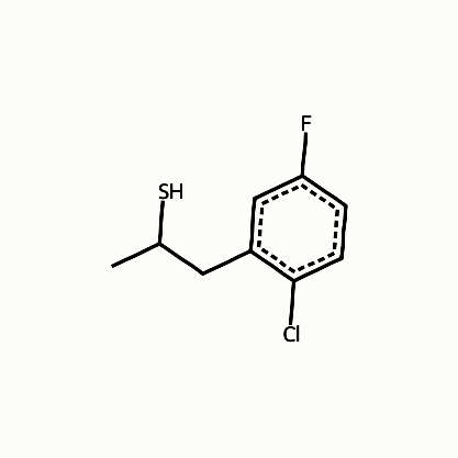 CC(S)Cc1cc(F)ccc1Cl